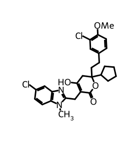 COc1ccc(CCC2(C3CCCC3)CC(O)=C(Cc3nc4cc(Cl)ccc4n3C)C(=O)O2)cc1Cl